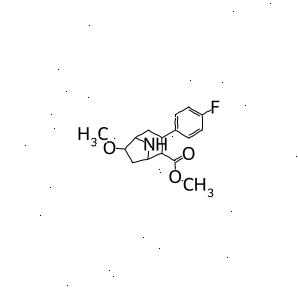 COC(=O)C1C2CC(OC)C(CC1c1ccc(F)cc1)N2